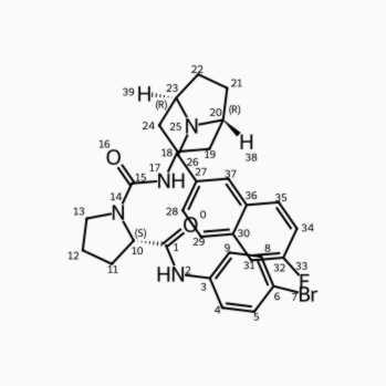 O=C(Nc1ccc(Br)cc1)[C@@H]1CCCN1C(=O)NC1C[C@H]2CC[C@H](C1)N2Cc1ccc2cc(F)ccc2c1